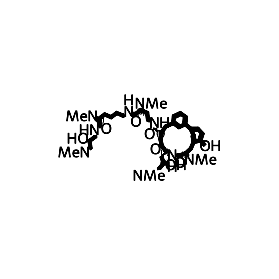 CNCC(O)CNC(=O)[C@H](CCCCNC(=O)[C@H](CCNC(=O)[C@H]1CC(=O)[C@H](C[C@@H](O)CNC)NC(=O)[C@@H](NC)Cc2cc(ccc2O)-c2cccc(c2)C1)NC)NC